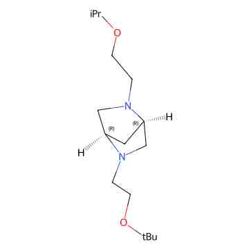 CC(C)OCCN1C[C@H]2C[C@@H]1CN2CCOC(C)(C)C